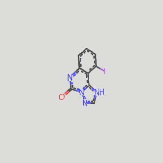 O=c1nc2cccc(I)c2c2[nH]cnn12